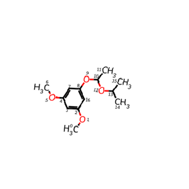 COc1cc(OC)cc(OC(C)OC(C)C)c1